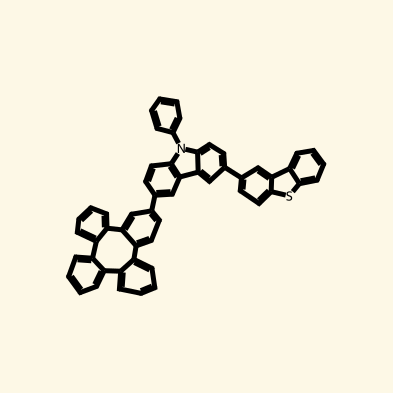 c1ccc(-n2c3ccc(-c4ccc5c(c4)-c4ccccc4-c4ccccc4-c4ccccc4-5)cc3c3cc(-c4ccc5sc6ccccc6c5c4)ccc32)cc1